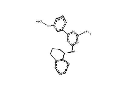 Cc1nc(N[C@@H]2CCCc3ccccc32)cc(-c2cccc(CO)c2)n1